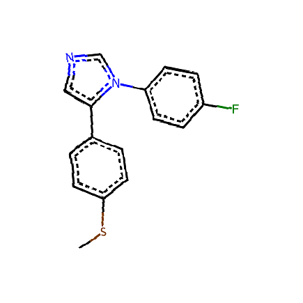 CSc1ccc(-c2cncn2-c2ccc(F)cc2)cc1